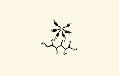 N#[C][Fe]([C]#N)([C]#N)([C]#N)([C]#N)[C]#N.O=C(O)C(O)C(O)C(O)C(O)CO